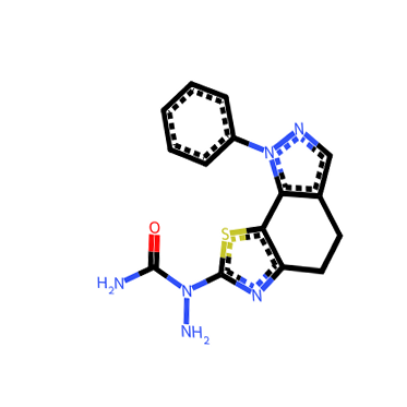 NC(=O)N(N)c1nc2c(s1)-c1c(cnn1-c1ccccc1)CC2